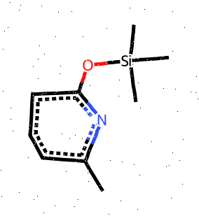 Cc1cccc(O[Si](C)(C)C)n1